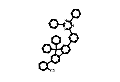 N#Cc1ccccc1-c1ccc2c(c1)C(c1ccccc1)(c1ccccc1)c1cc(-c3cccc(-c4nc(-c5ccccc5)nc(-c5ccccc5)n4)c3)ccc1-2